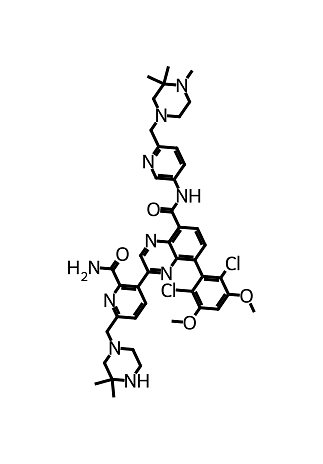 COc1cc(OC)c(Cl)c(-c2ccc(C(=O)Nc3ccc(CN4CCN(C)C(C)(C)C4)nc3)c3ncc(-c4ccc(CN5CCNC(C)(C)C5)nc4C(N)=O)nc23)c1Cl